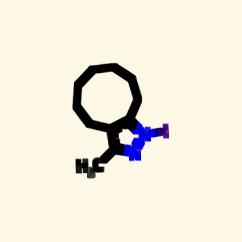 Cc1nn(I)c2c1CCCCCCC2